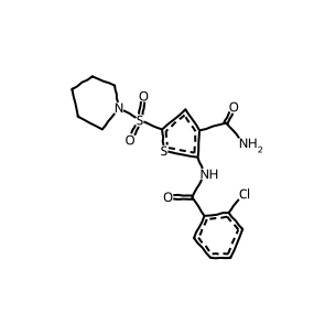 NC(=O)c1cc(S(=O)(=O)N2CCCCC2)sc1NC(=O)c1ccccc1Cl